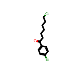 O=C(CCCCCCCl)c1ccc(Br)cc1